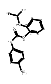 O=C(Oc1ccc([N+](=O)[O-])cc1)Oc1ccccc1OC(F)F